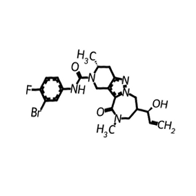 C=C[C@H](O)C1CN(C)C(=O)c2c3c(nn2C1)C[C@@H](C)N(C(=O)Nc1ccc(F)c(Br)c1)C3